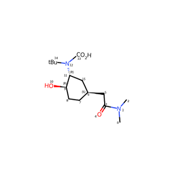 CN(C)C(=O)C[C@H]1CC[C@@H](O)[C@H](N(C(=O)O)C(C)(C)C)C1